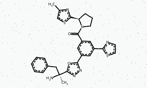 Cc1csc([C@H]2CCCN2C(=O)c2cc(-c3nnc([C@@](C)(N)Cc4ccccc4)o3)cc(-c3nccs3)c2)n1